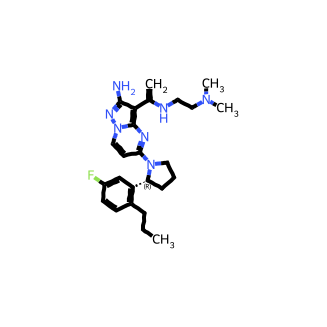 C=C(NCCN(C)C)c1c(N)nn2ccc(N3CCC[C@@H]3c3cc(F)ccc3CCC)nc12